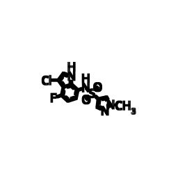 Cn1cc(S(=O)(=O)Nc2ccc(F)c3c(Cl)c[nH]c23)cn1